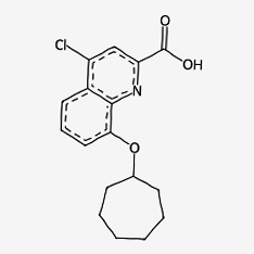 O=C(O)c1cc(Cl)c2cccc(OC3CCCCCC3)c2n1